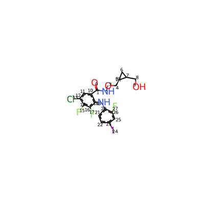 O=C(NOC[C@H]1CC1CO)c1cc(Cl)c(F)c(F)c1Nc1ccc(I)cc1F